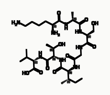 CC[C@H](C)[C@H](NC(=O)CNC(=O)[C@H](CO)NC(=O)[C@H](C)NC(=O)[C@@H](N)CCCCN)C(=O)N[C@H](C(=O)N[C@H](C(=O)O)C(C)C)[C@@H](C)O